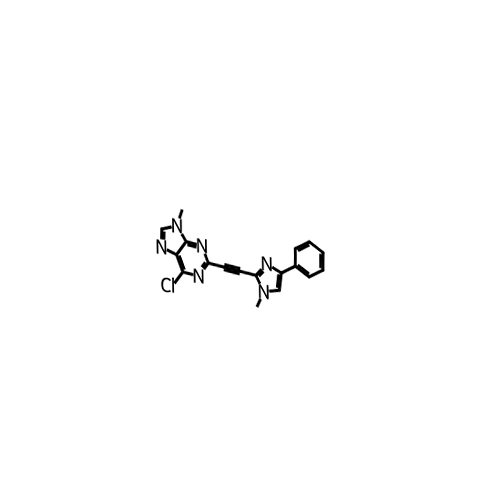 Cn1cc(-c2ccccc2)nc1C#Cc1nc(Cl)c2ncn(C)c2n1